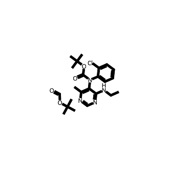 CC(C)(C)OC=O.CCNc1ncnc(C)c1N(C(=O)OC(C)(C)C)c1ccccc1Cl